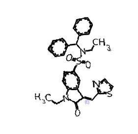 CCN1C(=O)/C(=C/c2nccs2)c2cc(S(=O)(=O)N(CC)C(c3ccccc3)c3ccccc3)ccc21